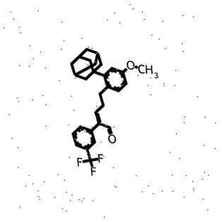 COc1ccc(CC/C=C(\C=O)c2cccc(C(F)(F)F)c2)c(C23CC4CC(CC(C4)C2)C3)c1